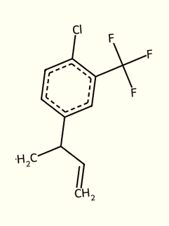 [CH2]C(C=C)c1ccc(Cl)c(C(F)(F)F)c1